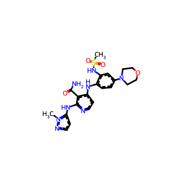 Cn1nccc1Nc1nccc(Nc2ccc(N3CCOCC3)cc2NS(C)(=O)=O)c1C(N)=O